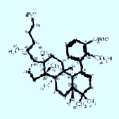 COc1cccc(C2=CCC(C)(C)[C@@H]3CC[C@@H]4[C@]5(CC[C@]6(C)[C@@H]([C@H](C)CCCC(C)C)CC[C@@]46C)C[C@]235)c1C(=O)O